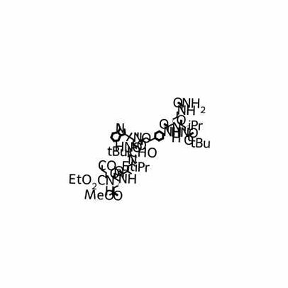 CCOC(=O)CC[C@@H](NC(=O)[C@@H](CCC(=O)OC)NC(=O)/C(C)=C/[C@H](C(C)C)N(C)C[C@](C=O)(NC(=O)C(N(C)C(=O)OCc1ccc(NC(=O)[C@H](CCCNC(N)=O)NC(=O)[C@@H](NC(=O)OC(C)(C)C)C(C)C)cc1)C(C)(C)c1cn(C)c2ccccc12)C(C)(C)C)C(=O)OCC